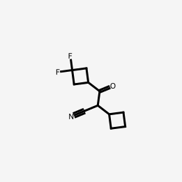 N#CC(C(=O)C1CC(F)(F)C1)C1CCC1